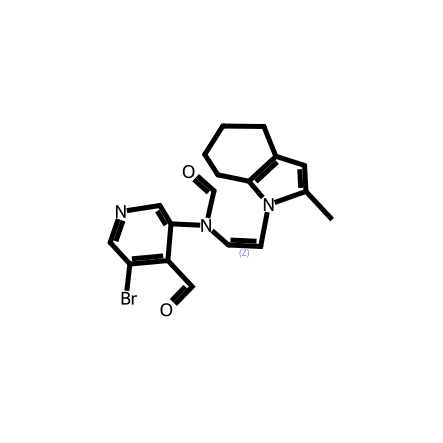 Cc1cc2c(n1/C=C\N(C=O)c1cncc(Br)c1C=O)CCCC2